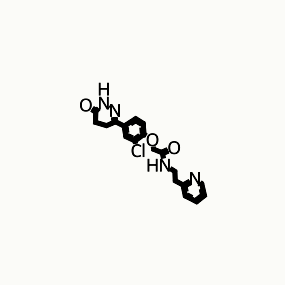 O=C(COc1ccc(C2=NNC(=O)CC2)cc1Cl)NCCc1ccccn1